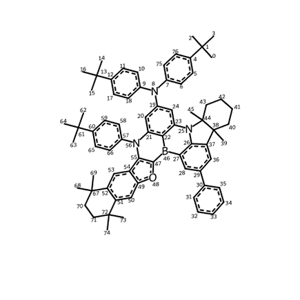 CC(C)(C)c1ccc(N(c2ccc(C(C)(C)C)cc2)c2cc3c4c(c2)N2c5c(cc(-c6ccccc6)cc5C5(C)CCCCC25C)B4c2oc4cc5c(cc4c2N3c2ccc(C(C)(C)C)cc2)C(C)(C)CCC5(C)C)cc1